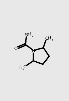 CC1CCC(C)N1C(N)=O